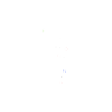 O=C=NCCOC(=O)c1ccc(F)cc1